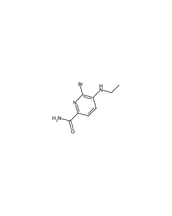 CCNc1ccc(C(N)=O)nc1Br